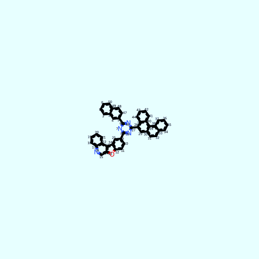 c1ccc2cc(-c3nc(-c4ccc5oc6cnc7ccccc7c6c5c4)nc(-c4cc5ccc6ccccc6c5c5ccccc45)n3)ccc2c1